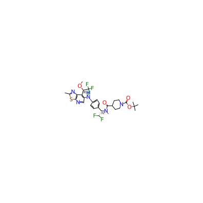 CO[C@H](c1c(Nc2ccc([C@@H](C(F)F)N(C)C(=O)C3CCN(C(=O)OC(C)(C)C)CC3)cc2)cnc2sc(C)nc12)C(F)(F)F